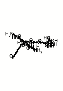 CC(=O)CCCCCCCCCCC(=O)NC(COCCC(=O)NCCCN)(COCCC(=O)NCCCN)COCCC(=O)NCCCNC(=O)CCCCO[C@@H]1OC(CO)[C@H](O)C(O)C1NC(C)=O